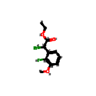 CCOC(=O)C(Br)c1cccc(OC)c1F